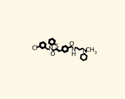 CN(CCCNC(=O)c1ccc(C=C2Sc3ccccc3N(Cc3cccc(Cl)c3)C2=O)cc1)C1CCCCC1